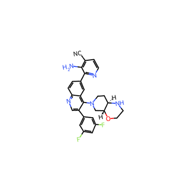 N#Cc1ccnc(-c2ccc3ncc(-c4cc(F)cc(F)c4)c(N4CC[C@H]5NCCO[C@@H]5C4)c3c2)c1N